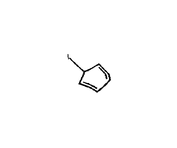 IC1C=CC=C1